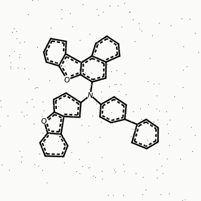 c1ccc(-c2ccc(N(c3ccc4oc5ccccc5c4c3)c3cc4ccccc4c4c3oc3ccccc34)cc2)cc1